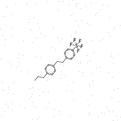 CCCc1ccc(CCc2ccc(S(F)(F)(F)(F)F)cc2)cc1